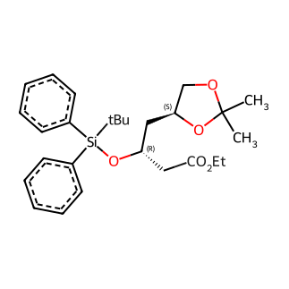 CCOC(=O)C[C@@H](C[C@H]1COC(C)(C)O1)O[Si](c1ccccc1)(c1ccccc1)C(C)(C)C